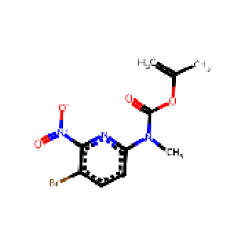 C=C(C)OC(=O)N(C)c1ccc(Br)c([N+](=O)[O-])n1